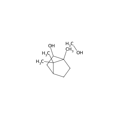 CC1(C)C2CCC1(C)C(O)C2.CO